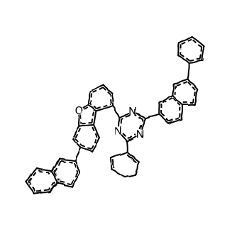 C1=CC(c2nc(-c3ccc4ccc(-c5ccccc5)cc4c3)nc(-c3cccc4oc5cc(-c6ccc7ccccc7c6)ccc5c34)n2)=CCC1